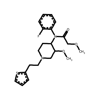 COCC(=O)N(c1ccccc1F)C1CCN(CCc2cccs2)CC1OC